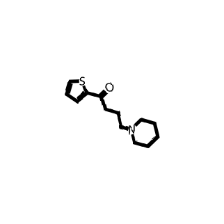 O=C(CCCN1CCCCC1)c1cccs1